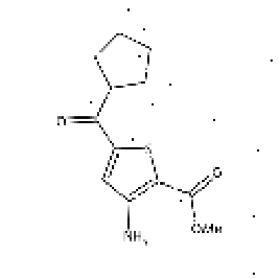 COC(=O)c1sc(C(=O)C2CCCC2)cc1N